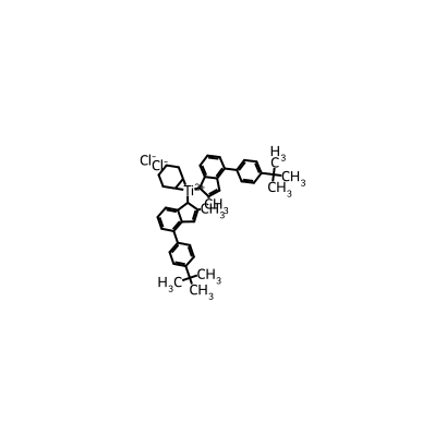 CC1=Cc2c(-c3ccc(C(C)(C)C)cc3)cccc2[CH]1[Ti+2]1([CH]2C(C)=Cc3c(-c4ccc(C(C)(C)C)cc4)cccc32)[CH]2CCCC[CH]21.[Cl-].[Cl-]